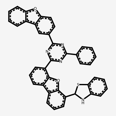 c1ccc(-c2nc(-c3ccc4oc5ccccc5c4c3)nc(-c3cccc4c3oc3c(C5Nc6ccccc6S5)cccc34)n2)cc1